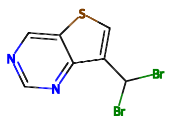 BrC(Br)c1csc2cncnc12